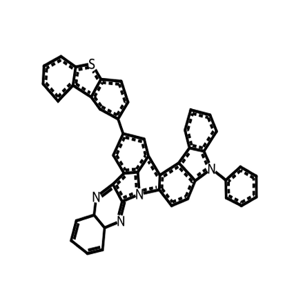 C1=CC2N=c3c(n4c5ccc6c(c7ccccc7n6-c6ccccc6)c5c5cc(-c6ccc7sc8ccccc8c7c6)cc3c54)=NC2C=C1